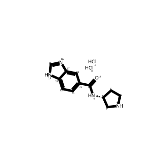 Cl.Cl.O=C(N[C@@H]1CCNC1)c1ccc2[nH]cnc2c1